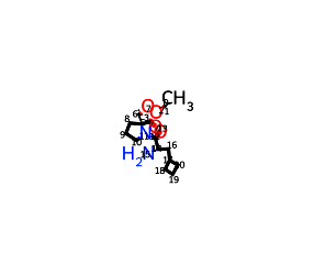 CCOC(=O)[C@@]1([C]=O)CCCN1C(=O)[C@H](N)CC1CCC1